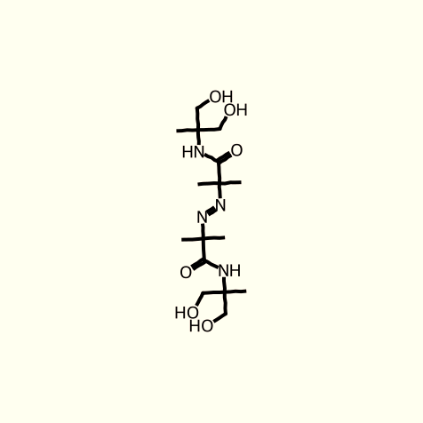 CC(CO)(CO)NC(=O)C(C)(C)/N=N/C(C)(C)C(=O)NC(C)(CO)CO